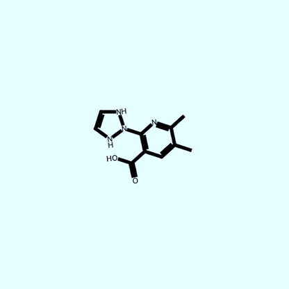 Cc1cc(C(=O)O)c(N2NC=CN2)nc1C